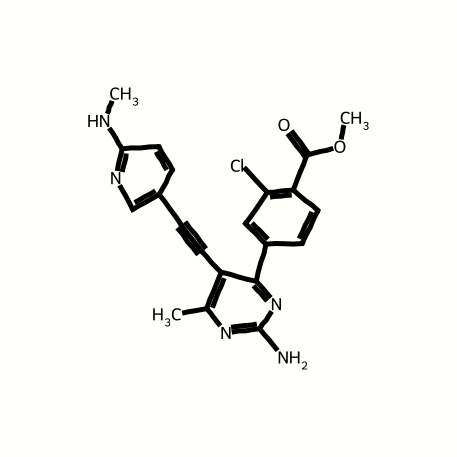 CNc1ccc(C#Cc2c(C)nc(N)nc2-c2ccc(C(=O)OC)c(Cl)c2)cn1